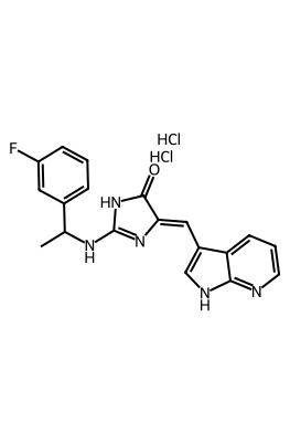 CC(NC1=N/C(=C\c2c[nH]c3ncccc23)C(=O)N1)c1cccc(F)c1.Cl.Cl